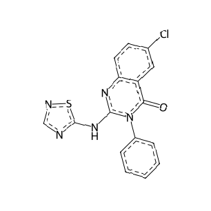 O=c1c2cc(Cl)ccc2nc(Nc2ncns2)n1-c1ccccc1